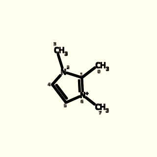 Cc1n(C)cc[n+]1C